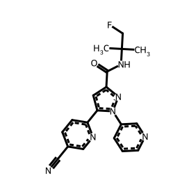 CC(C)(CF)NC(=O)c1cc(-c2ccc(C#N)cn2)n(-c2cccnc2)n1